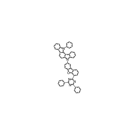 c1ccc(-c2nc(-c3ccccc3)nc(-c3cccc4c3oc3ccc(-n5c6ccccc6c6c5ccc5c7ccccc7n(-c7ccccc7)c56)cc34)n2)cc1